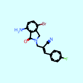 N#C/C(=C\c1ccc(F)cc1)CN1Cc2c(Br)ccc(N)c2C1=O